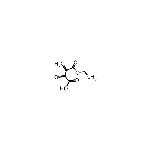 C=C(C(=O)OCC)C(=O)C(=O)O